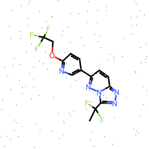 CC(F)(F)c1nnc2ccc(-c3ccc(OCC(F)(F)F)nc3)nn12